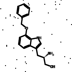 N[C@H](CO)Cc1c[nH]c2c(OCc3ccccc3)cccc12